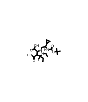 CCN1N(CC(NC(=O)OC(C)(C)C)C2CC2)C(C(=O)O)=C(C(=O)O)C1(I)CC